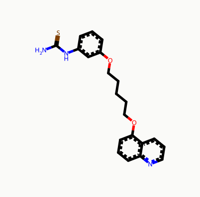 NC(=S)Nc1cccc(OCCCCCOc2cccc3ncccc23)c1